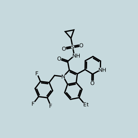 CCc1ccc2c(c1)c(-c1ccc[nH]c1=O)c(C(=O)NS(=O)(=O)C1CC1)n2Cc1cc(F)c(F)cc1F